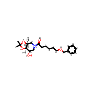 CC1(C)O[C@@H]2[C@H](O)CN(C(=O)CCCCCOCc3ccccc3)C[C@@H]2O1